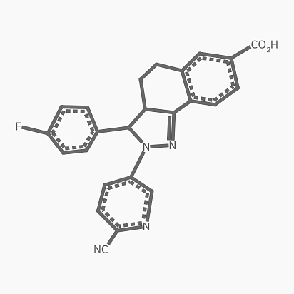 N#Cc1ccc(N2N=C3c4ccc(C(=O)O)cc4CCC3C2c2ccc(F)cc2)cn1